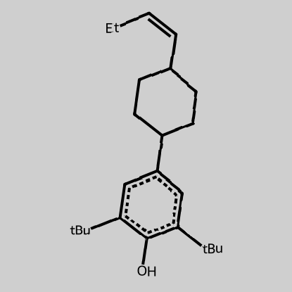 CC/C=C\C1CCC(c2cc(C(C)(C)C)c(O)c(C(C)(C)C)c2)CC1